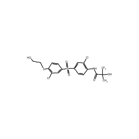 CC(O)(C(=O)Nc1ccc(S(=O)(=O)c2ccc(SCCO)c(Cl)c2)cc1Cl)C(F)(F)F